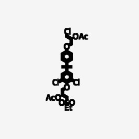 CCS(=O)(=O)C[C@@H](COc1c(Cl)cc(C(C)(C)c2ccc(OC[C@H](CCl)OC(C)=O)cc2)cc1Cl)OC(C)=O